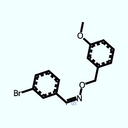 COc1cccc(CO/N=[C]\c2cccc(Br)c2)c1